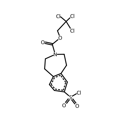 O=C(OCC(Cl)(Cl)Cl)N1CCc2ccc(S(=O)(=O)Cl)cc2CC1